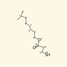 CC(C)CCCCCCOC(=O)CCS